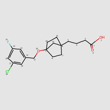 O=C(O)CCCC12CCC(OCc3cc(F)cc(Cl)c3)(CC1)C2